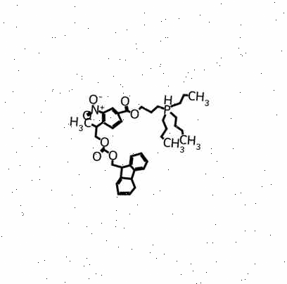 CCCC[PH](CCCC)(CCCC)CCCOC(=O)c1ccc(C(C)COC(=O)OCC2C3=CC=CCC3c3ccccc32)c([N+](=O)[O-])c1